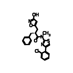 CN(C(=O)[C@H](Cc1ccccc1)Cc1cc(O)no1)c1nc(-c2ccccc2Cl)cs1